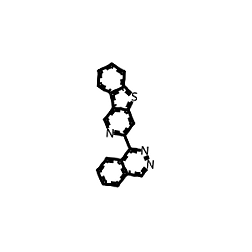 c1ccc2c(-c3cc4sc5ccccc5c4cn3)nncc2c1